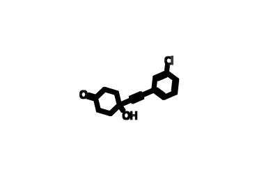 O=C1CCC(O)(C#Cc2cccc(Cl)c2)CC1